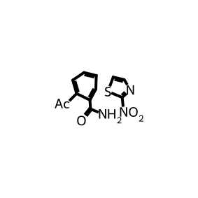 CC(=O)c1ccccc1C(N)=O.O=[N+]([O-])c1nccs1